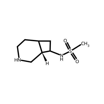 CS(=O)(=O)NC1CC2CCNC[C@H]21